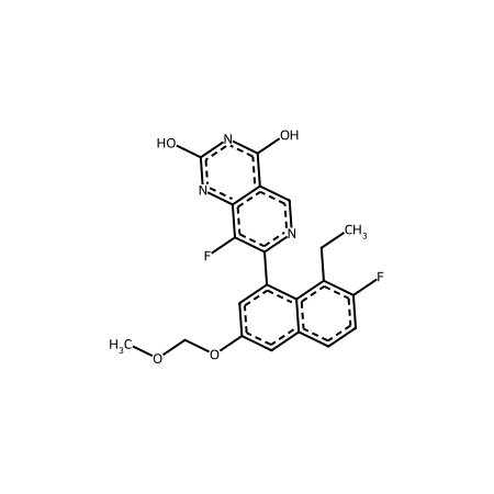 CCc1c(F)ccc2cc(OCOC)cc(-c3ncc4c(O)nc(O)nc4c3F)c12